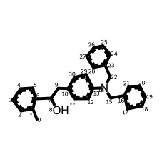 Cc1ccccc1C(O)Cc1ccc(N(Cc2ccccc2)Cc2ccccc2)cc1